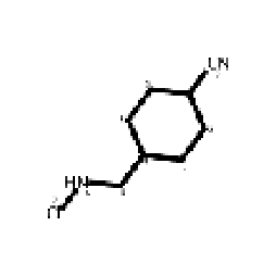 N#CC1CCC(CNCl)CC1